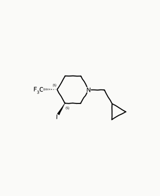 FC(F)(F)[C@@H]1CCN(CC2CC2)C[C@H]1I